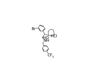 Cl.OC1(C(CNCc2ccc(C(F)(F)F)cc2)c2cccc(Br)c2)CCCCC1